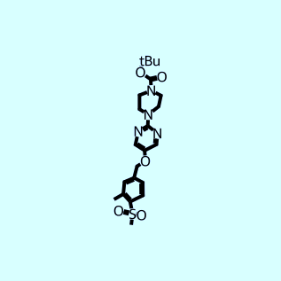 Cc1cc(COc2cnc(N3CCN(C(=O)OC(C)(C)C)CC3)nc2)ccc1S(C)(=O)=O